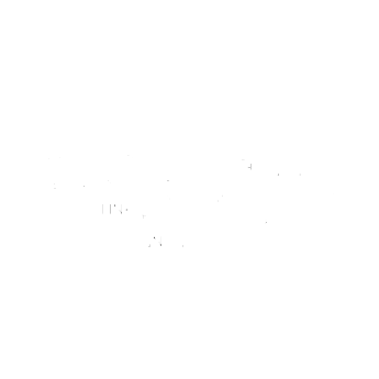 O=C(Nc1nc2ccc(-c3ccccc3Br)cc2s1)C1CC1F